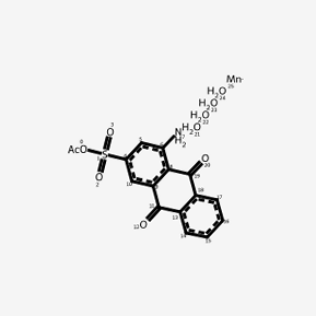 CC(=O)OS(=O)(=O)c1cc(N)c2c(c1)C(=O)c1ccccc1C2=O.O.O.O.O.[Mn]